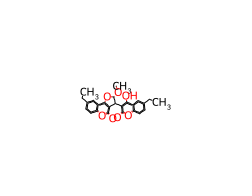 CCc1ccc2oc(=O)c(C3c4c(c5cc(CC)ccc5oc4=O)OC3OC)c(O)c2c1